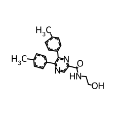 Cc1ccc(-c2ncc(C(=O)NCCO)nc2-c2ccc(C)cc2)cc1